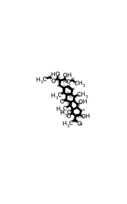 CCOC(O)C(Cc1ccc2c(c1C)C(=O)C1=C(C)C3(C)C(=O)C(C(C)=O)=C(O)CC3C(O)C1C2C)C(O)OCC